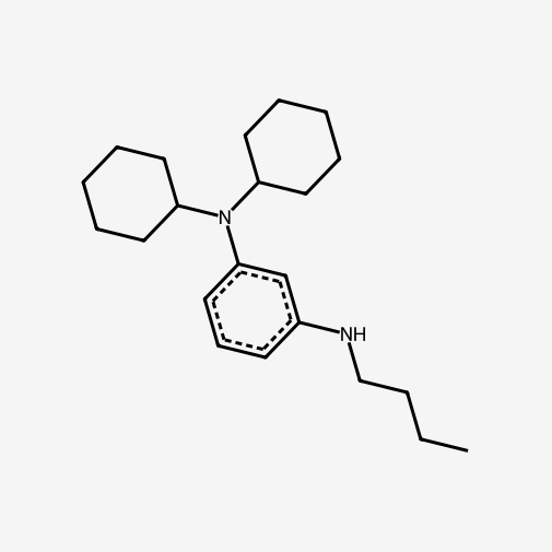 CCCCNc1cccc(N(C2CCCCC2)C2CCCCC2)c1